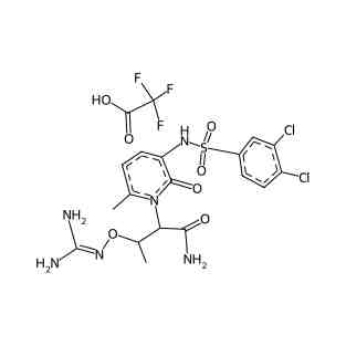 Cc1ccc(NS(=O)(=O)c2ccc(Cl)c(Cl)c2)c(=O)n1C(C(N)=O)C(C)ON=C(N)N.O=C(O)C(F)(F)F